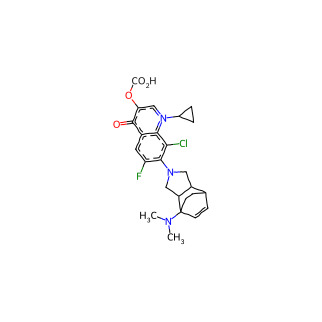 CN(C)C12C=CC(CC1)C1CN(c3c(F)cc4c(=O)c(OC(=O)O)cn(C5CC5)c4c3Cl)CC12